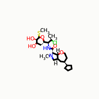 CSC1O[C@H]([C@H](NC(=O)[C@@H]2[C@@H]3OCC[C@@H](C4CCCC4)C[C@H]3CN2C)[C@H](C)Cl)CC(O)[C@H]1O